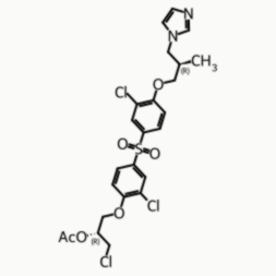 CC(=O)O[C@@H](CCl)COc1ccc(S(=O)(=O)c2ccc(OC[C@H](C)Cn3ccnc3)c(Cl)c2)cc1Cl